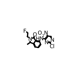 CC1c2cccc(Nc3nc(Cl)ncc3[N+](=O)[O-])c2C(=O)N1CCF